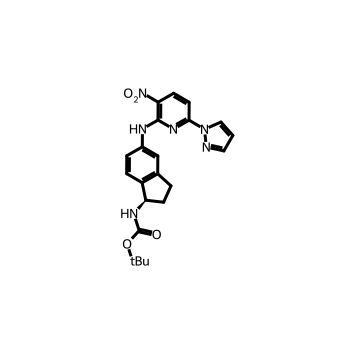 CC(C)(C)OC(=O)N[C@@H]1CCc2cc(Nc3nc(-n4cccn4)ccc3[N+](=O)[O-])ccc21